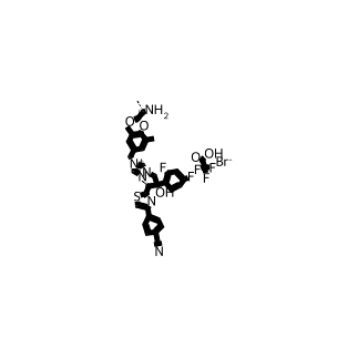 Cc1cc(C[n+]2cnn(C[C@](O)(c3ccc(F)cc3F)[C@@H](C)c3nc(-c4ccc(C#N)cc4)cs3)c2)cc(C)c1OC(=O)[C@H](C)N.O=C(O)C(F)(F)F.[Br-]